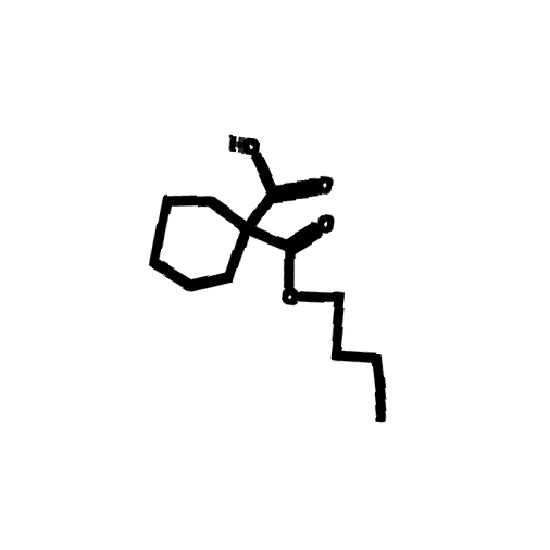 CCCCOC(=O)C1(C(=O)O)CCCCC1